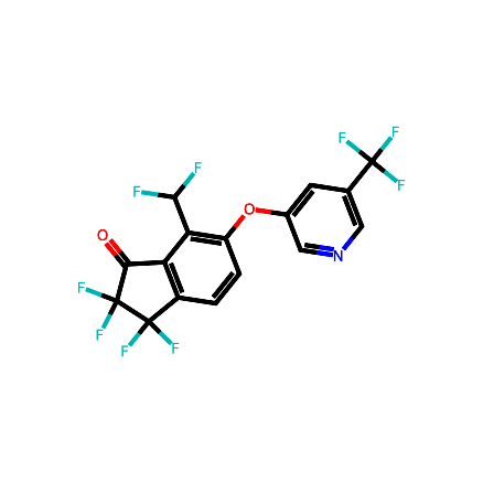 O=C1c2c(ccc(Oc3cncc(C(F)(F)F)c3)c2C(F)F)C(F)(F)C1(F)F